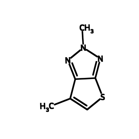 Cc1csc2nn(C)nc12